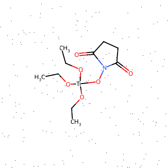 CC[O][Ti]([O]CC)([O]CC)[O]N1C(=O)CCC1=O